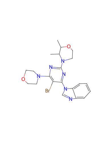 CC1OCCN(c2nc(N3CCOCC3)c(Br)c(-n3cnc4ccccc43)n2)C1C